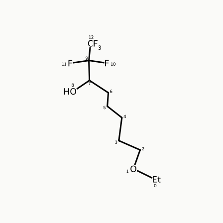 CCOCCCCCC(O)C(F)(F)C(F)(F)F